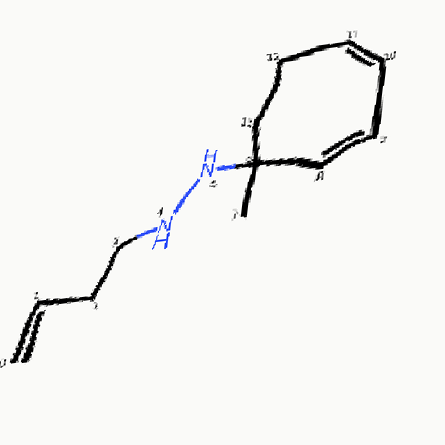 C=CCCNNC1(C)C=CC=CCC1